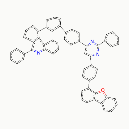 c1ccc(-c2nc(-c3ccc(-c4cccc(-c5cccc6c(-c7ccccc7)nc7ccccc7c56)c4)cc3)cc(-c3ccc(-c4cccc5c4oc4ccccc45)cc3)n2)cc1